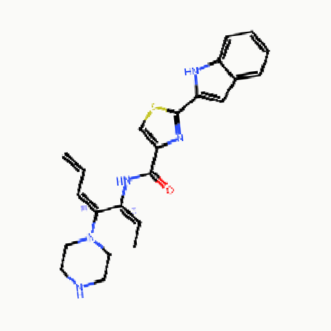 C=C/C=C(\C(=C/C)NC(=O)c1csc(-c2cc3ccccc3[nH]2)n1)N1CCNCC1